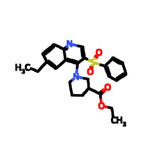 CCOC(=O)C1CCCN(c2c(S(=O)(=O)c3ccccc3)cnc3ccc(CC)cc23)C1